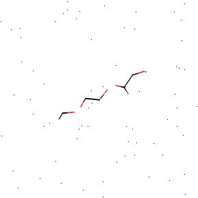 CCOCCOC(Br)CBr